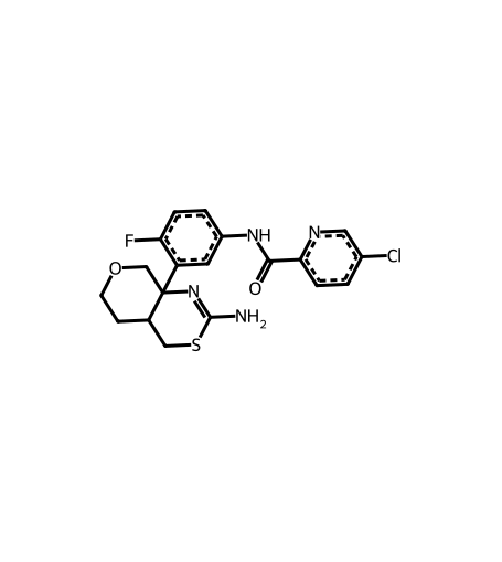 NC1=NC2(c3cc(NC(=O)c4ccc(Cl)cn4)ccc3F)COCCC2CS1